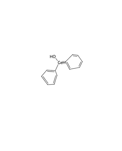 [OH][GeH]([c]1ccccc1)[c]1ccccc1